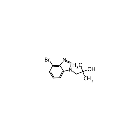 CC(C)(O)Cn1cnc2c(Br)cccc21